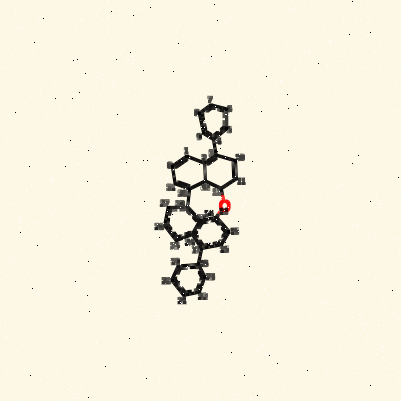 C1=CC2=C(c3ccccc3)C=CC3Oc4ccc(-c5ccccc5)c5cccc(c45)C(=C1)C23